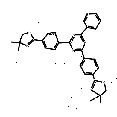 CC1(C)CSC(c2ccc(-c3nc(-c4ccccc4)nc(-c4ccc(C5=NC(C)(C)CS5)cc4)n3)cc2)=N1